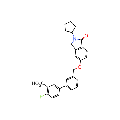 O=C(O)c1cc(-c2cccc(COc3ccc4c(c3)CN(C3CCCC3)C4=O)c2)ccc1F